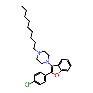 CCCCCCCCCN1CCN(c2c(-c3ccc(Cl)cc3)oc3ccccc23)CC1